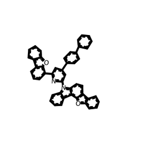 c1ccc(-c2ccc(-c3cc(-c4cccc5c4oc4ccccc45)nc(-n4c5ccccc5c5c6oc7ccccc7c6ccc54)c3)cc2)cc1